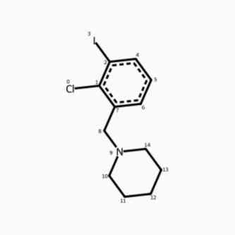 Clc1c(I)cccc1CN1CCCCC1